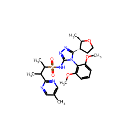 COc1cccc(OC)c1-n1c(NS(=O)(=O)C(C)C(C)c2ncc(C)cn2)nnc1[C@H]1CCO[C@@H]1C